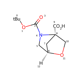 CC(C)(C)OC(=O)N1C[C@H]2C[C@]1(C(=O)O)CO2